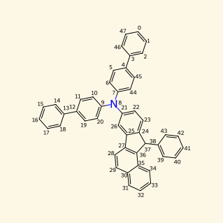 c1ccc(-c2ccc(N(c3ccc(-c4ccccc4)cc3)c3ccc4c(c3)-c3ccc5ccccc5c3C4c3ccccc3)cc2)cc1